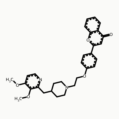 COc1ccnc(CC2CCN(CCOc3ccc(-c4cc(=O)c5ccccc5o4)cc3)CC2)c1OC